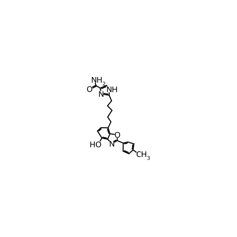 Cc1ccc(-c2nc3c(O)ccc(CCCCCc4nc(C(N)=O)c[nH]4)c3o2)cc1